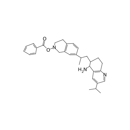 CC(C)c1cnc2c(c1)C(N)C(CC(C)c1ccc3c(c1)CN(OC(=O)c1ccccc1)CC3)CC2